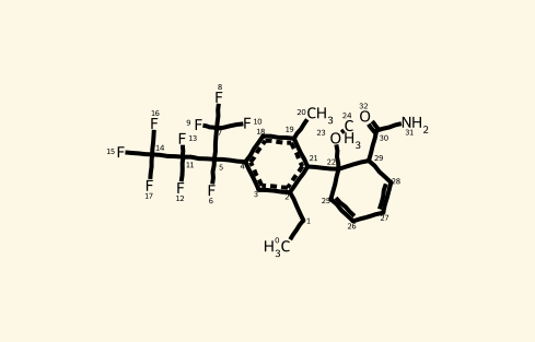 CCc1cc(C(F)(C(F)(F)F)C(F)(F)C(F)(F)F)cc(C)c1C1(OC)C=CC=CC1C(N)=O